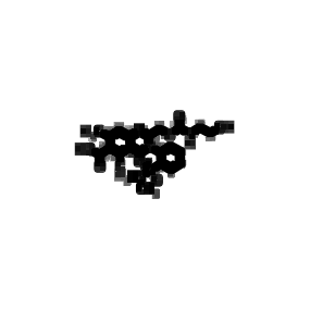 CNS(=O)(=O)c1ccccc1-n1c(COC(=O)NCCO)nc2cc(C)c(C(=O)O)c(C)c2c1=O